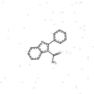 NC(=O)n1c(-c2ccccc2)nc2ccccc21